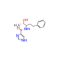 C[C@H](O)C(CCc1ccccc1)NC(=O)c1c[nH]cn1